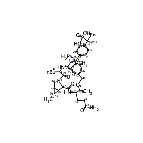 CCCCC(NC(=O)/C=C(\C)c1ccc(C(F)(F)P(=O)(O)O)cc1)C(=O)N1CC2C(C1C(=O)NC(CCC(N)=O)C(C)OCc1ccc(CP)cc1)[C@@H]2C